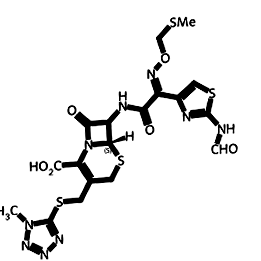 CSCON=C(C(=O)NC1C(=O)N2C(C(=O)O)=C(CSc3nnnn3C)CS[C@@H]12)c1csc(NC=O)n1